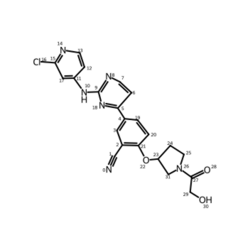 N#Cc1cc(-c2ccnc(Nc3ccnc(Cl)c3)n2)ccc1OC1CCN(C(=O)CO)C1